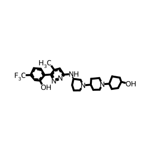 Cc1cc(N[C@@H]2CCCN(C3CCN(C4CCC(O)CC4)CC3)C2)nnc1-c1ccc(C(F)(F)F)cc1O